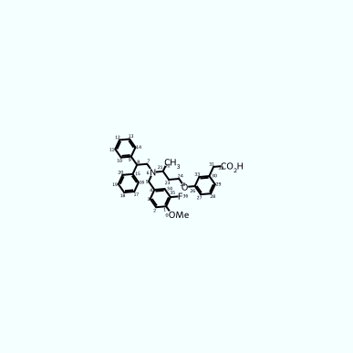 COc1ccc(CN(CC(c2ccccc2)c2ccccc2)C(C)CCOc2cccc(CC(=O)O)c2)cc1F